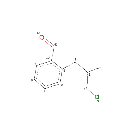 CC(CCl)Cc1ccccc1[C]=O